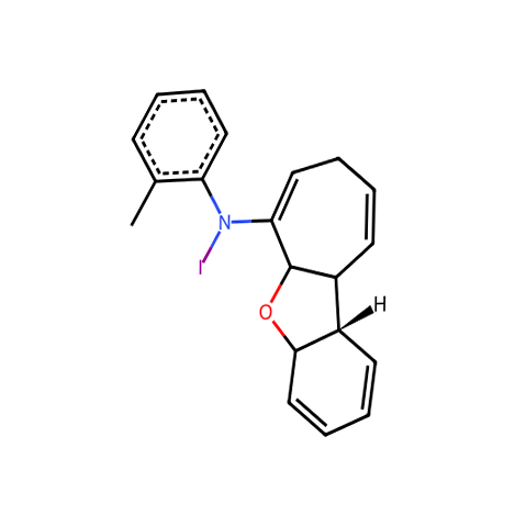 Cc1ccccc1N(I)C1=CCC=CC2C1OC1C=CC=C[C@H]12